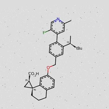 Cc1cc(-c2ccc(COc3ccc4c(c3)[C@]3(CCC4)C[C@H]3C(=O)O)cc2[C@@H](C)C(C)(C)C)c(F)cn1